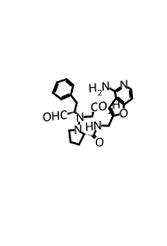 Nc1nccc2oc(CNC(=O)[C@@H]3CCCN3N(CC(=O)O)[C@@H](C=O)Cc3ccccc3)cc12